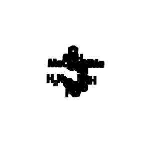 CNc1nc(-c2c[nH]c(C(=O)Nc3cccc(F)c3N3CCC(CN)CC3)n2)cc(N2CC[C@@](OC)(C(=O)NC3CCCCC3)C2)n1